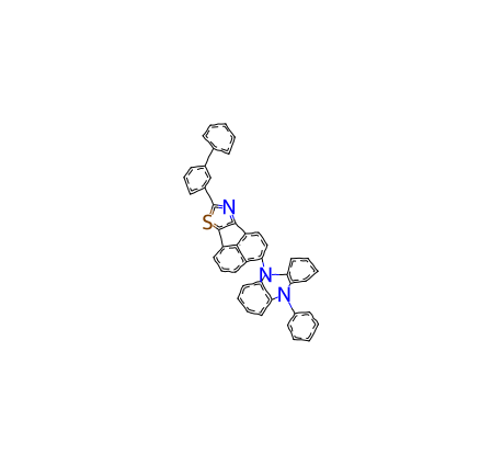 c1ccc(-c2cccc(-c3nc4c(s3)-c3cccc5c(N6c7ccccc7N(c7ccccc7)c7ccccc76)ccc-4c35)c2)cc1